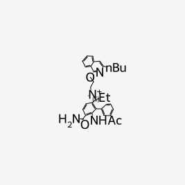 CCCCc1cc2ccccc2c(OCC[N+](C)(C)[C@@H](CC)c2ccc(C(N)=O)c(NC(C)=O)c2-c2ccccc2)n1